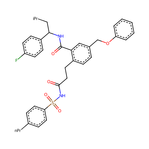 CCCc1ccc(S(=O)(=O)NC(=O)CCc2ccc(COc3ccccc3)cc2C(=O)NC(CC(C)C)c2ccc(F)cc2)cc1